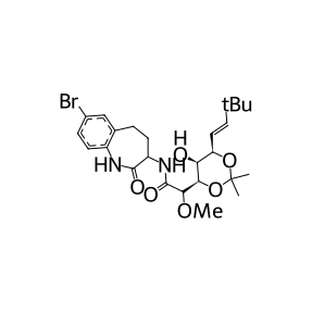 COC(C(=O)NC1CCc2cc(Br)ccc2NC1=O)[C@@H]1OC(C)(C)O[C@H](C=CC(C)(C)C)[C@@H]1O